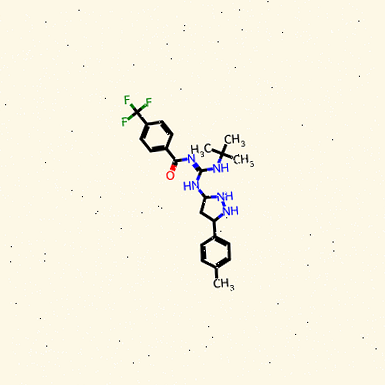 Cc1ccc(C2CC(N/C(=N\C(=O)c3ccc(C(F)(F)F)cc3)NC(C)(C)C)NN2)cc1